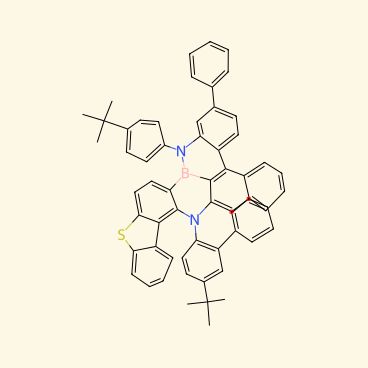 CC(C)(C)c1ccc(N2B3c4ccc5sc6ccccc6c5c4N(c4ccc(C(C)(C)C)cc4-c4ccccc4)c4cc5ccccc5c(c43)-c3ccc(-c4ccccc4)cc32)cc1